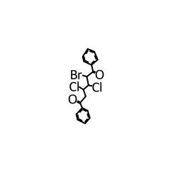 O=C(CC(Cl)C(Cl)C(Br)C(=O)c1ccccc1)c1ccccc1